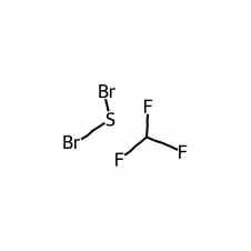 BrSBr.FC(F)F